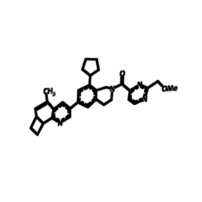 COCc1nccc(C(=O)N2CCc3cc(-c4cnc5c(c4)C(C)=CC4CCC54)cc(C4CCCC4)c3C2)n1